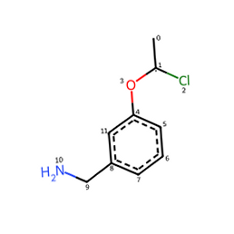 C[C](Cl)Oc1cccc(CN)c1